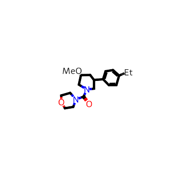 CCc1ccc(C2CC(OC)CN(C(=O)N3CCOCC3)C2)cc1